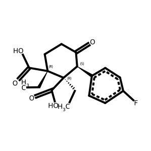 CC[C@@]1(C(=O)O)CCC(=O)[C@@H](c2ccc(F)cc2)[C@@]1(CC)C(=O)O